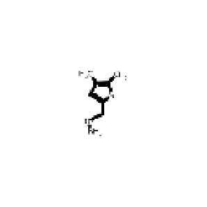 Cc1cc(CON)sc1C